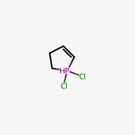 Cl[PH]1(Cl)C=CCC1